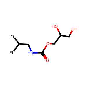 CCC(CC)CNC(=O)OCC(O)CO